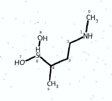 CNCCC(C)[SiH](O)O